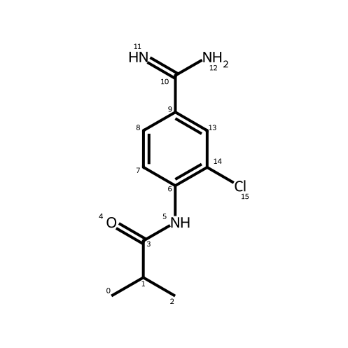 CC(C)C(=O)Nc1ccc(C(=N)N)cc1Cl